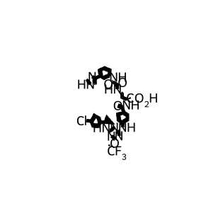 O=C(NCC[C@H](NC(=O)c1ccc(Nc2nc(NC3(c4ccc(Cl)cc4)CC3)nc(OCC(F)(F)F)n2)cc1)C(=O)O)C(=O)Nc1cccc(-c2c[nH]cn2)c1